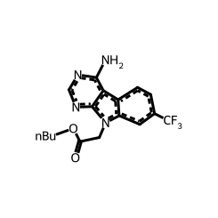 CCCCOC(=O)Cn1c2cc(C(F)(F)F)ccc2c2c(N)ncnc21